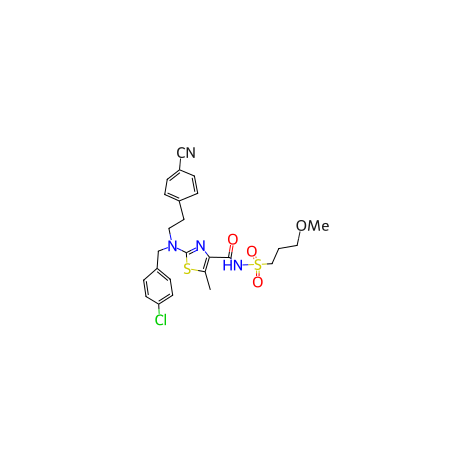 COCCCS(=O)(=O)NC(=O)c1nc(N(CCc2ccc(C#N)cc2)Cc2ccc(Cl)cc2)sc1C